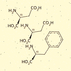 N[C@@H](CC(=O)O)C(=O)O.N[C@@H](CC(=O)O)C(=O)O.N[C@@H](Cc1ccccc1)C(=O)O